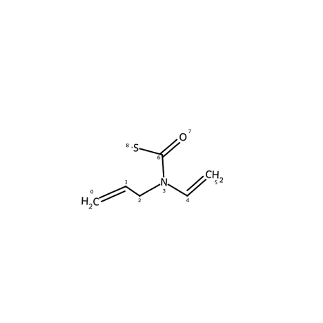 C=CCN(C=C)C(=O)[S]